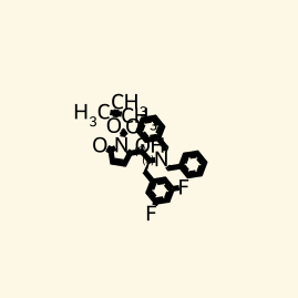 CC(C)(C)OC(=O)N1C(=O)C=CC1[C@@H](O)[C@H](Cc1cc(F)cc(F)c1)N(Cc1ccccc1)Cc1ccccc1